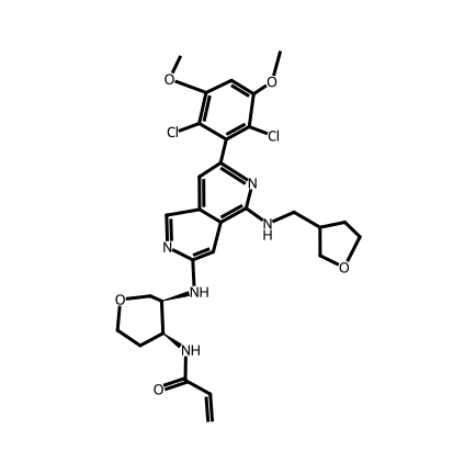 C=CC(=O)N[C@H]1CCOC[C@H]1Nc1cc2c(NCC3CCOC3)nc(-c3c(Cl)c(OC)cc(OC)c3Cl)cc2cn1